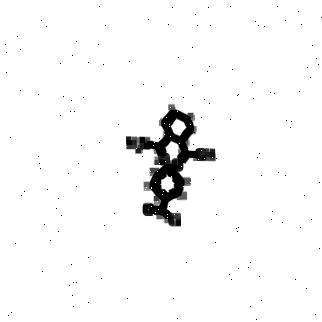 NC(=O)C1C=CCCC1C(=O)O.O=C(Cl)c1ccccc1